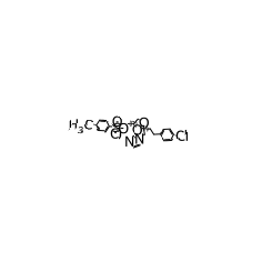 Cc1ccc(S(=O)(=O)OC[C@H]2CO[C@](CCc3ccc(Cl)cc3)(Cn3ccnc3)O2)cc1